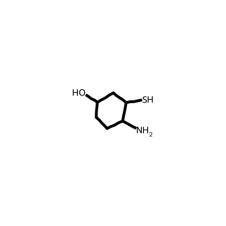 NC1CCC(O)CC1S